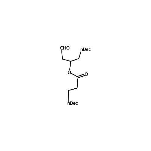 CCCCCCCCCCCCC(=O)OC(CC=O)CCCCCCCCCCC